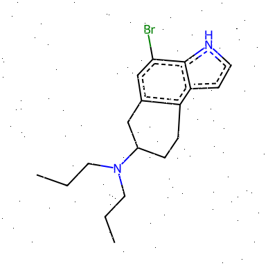 CCCN(CCC)C1CCc2c(cc(Br)c3[nH]ccc23)C1